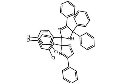 Clc1ccc(C2(C3(c4ccc(Cl)cc4Cl)N=C(c4ccccc4)C(c4ccccc4)(c4ccccc4)N3)N=CC(c3ccccc3)=N2)c(Cl)c1